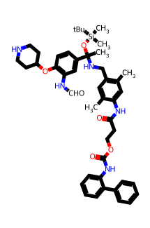 Cc1cc(NC(=O)CCOC(=O)Nc2ccccc2-c2ccccc2)c(C)cc1CNC(C)(O[Si](C)(C)C(C)(C)C)c1ccc(OC2CCNCC2)c(NC=O)c1